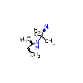 C=CC(=C)NC(C)(C)C#N